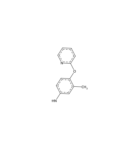 Cc1cc([NH])ccc1Oc1ccccn1